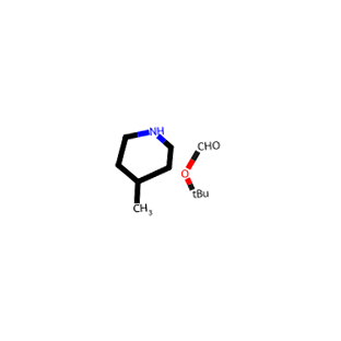 CC(C)(C)OC=O.CC1CCNCC1